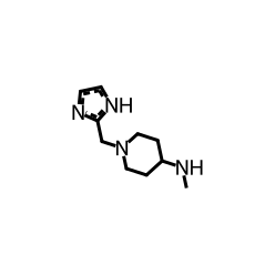 CNC1CCN(Cc2ncc[nH]2)CC1